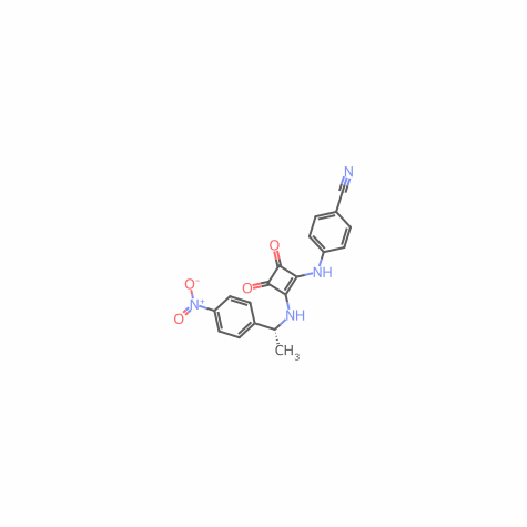 C[C@@H](Nc1c(Nc2ccc(C#N)cc2)c(=O)c1=O)c1ccc([N+](=O)[O-])cc1